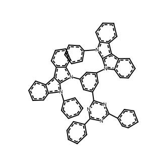 c1ccc(-c2nc(-c3ccccc3)nc(-c3cc(-n4c5ccccc5c5c6ccccc6n(-c6ccccc6)c54)cc(-n4c5ccccc5c5c6ccccc6n(-c6ccccc6)c54)c3)n2)cc1